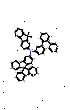 CC1(C)c2ccccc2-c2ccc(N(c3cccc(-c4ccccc4-c4ccccc4)c3)c3ccc4c(c3)-c3ccccc3C43c4ccccc4-c4ccccc43)cc21